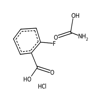 Cl.NC(=O)O.O=C(O)c1ccccc1F